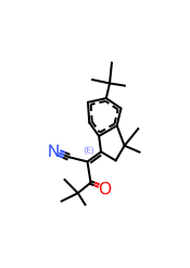 CC(C)(C)C(=O)/C(C#N)=C1\CC(C)(C)c2cc(C(C)(C)C)ccc21